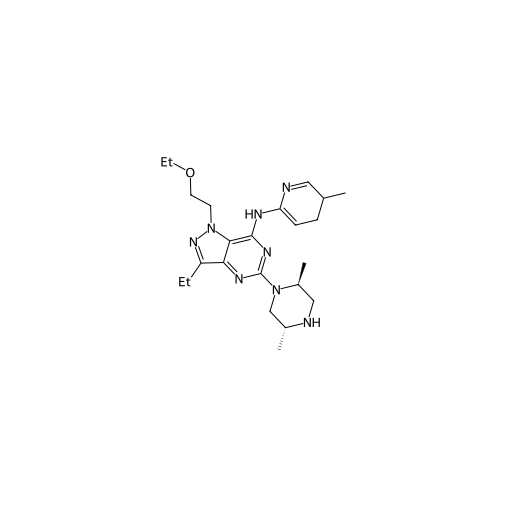 CCOCCn1nc(CC)c2nc(N3C[C@@H](C)NC[C@@H]3C)nc(NC3=CCC(C)C=N3)c21